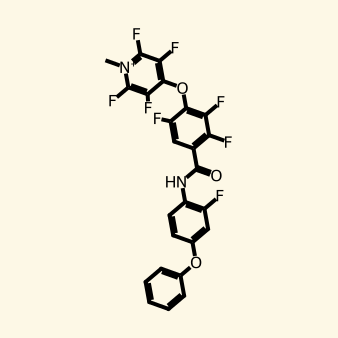 C[n+]1c(F)c(F)c(Oc2c(F)cc(C(=O)Nc3ccc(Oc4ccccc4)cc3F)c(F)c2F)c(F)c1F